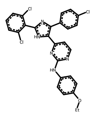 CCOc1ccc(Nc2nccc(-c3[nH]c(-c4c(Cl)cccc4Cl)nc3-c3ccc(Cl)cc3)n2)cc1